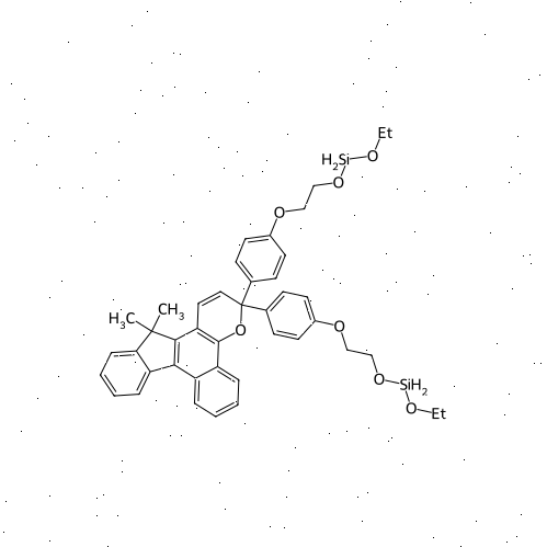 CCO[SiH2]OCCOc1ccc(C2(c3ccc(OCCO[SiH2]OCC)cc3)C=Cc3c4c(c5ccccc5c3O2)-c2ccccc2C4(C)C)cc1